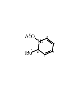 CC(=O)ON1C=CC=CC1C(C)(C)C